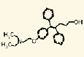 CCN(CC)CCOc1ccc(/C(=C(/CCCO)c2ccccc2)c2ccccc2)cc1